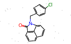 O=C1c2cccc3cccc(c23)N1Cc1ccc(Cl)cc1